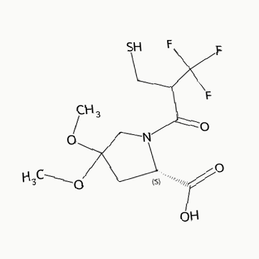 COC1(OC)C[C@@H](C(=O)O)N(C(=O)C(CS)C(F)(F)F)C1